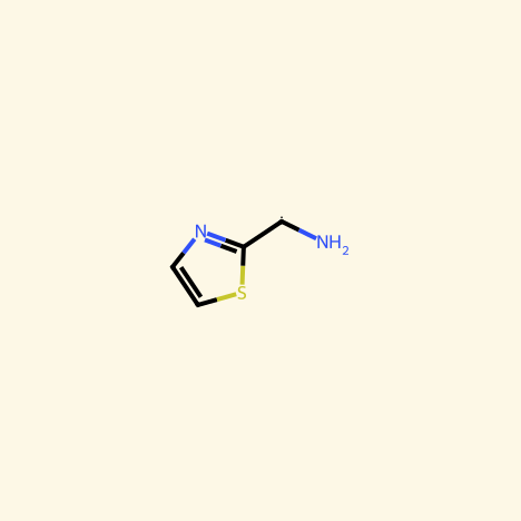 N[CH]c1nccs1